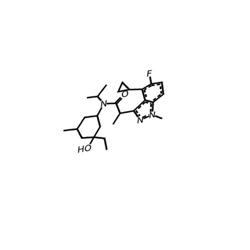 CCC1(O)CC(C)CC(N(C(=O)C(C)c2nn(C)c3ccc(F)c(C4CC4)c23)C(C)C)C1